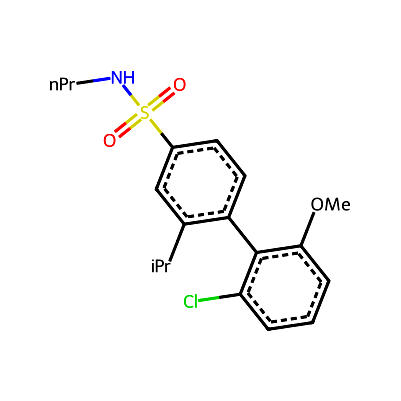 CCCNS(=O)(=O)c1ccc(-c2c(Cl)cccc2OC)c(C(C)C)c1